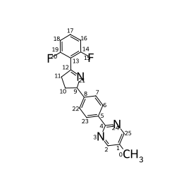 Cc1cnc(-c2ccc(C3CCC(c4c(F)cccc4F)=N3)cc2)nc1